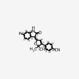 CC1(C)O/C(=C2/C(=O)Nc3cc(F)ccc32)C=C1c1ccc(C#N)cc1